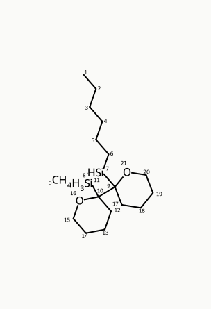 C.CCCCCC[SiH](C)C1(C2([SiH3])CCCCO2)CCCCO1